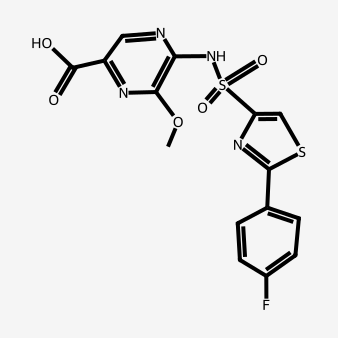 COc1nc(C(=O)O)cnc1NS(=O)(=O)c1csc(-c2ccc(F)cc2)n1